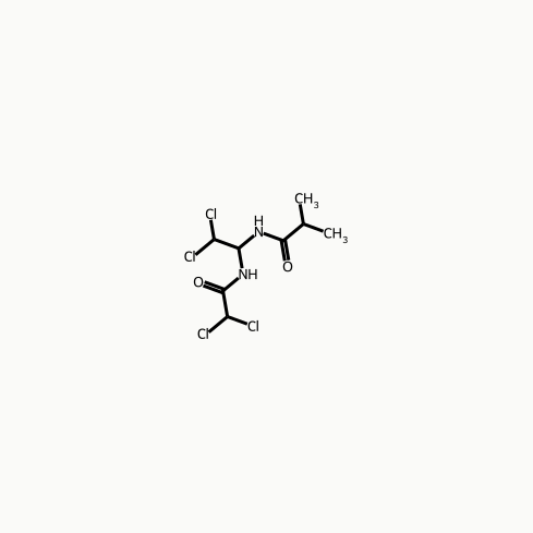 CC(C)C(=O)NC(NC(=O)C(Cl)Cl)C(Cl)Cl